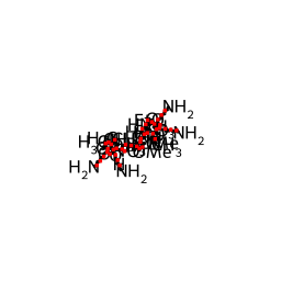 CCC(C)(NC1CCC(NC(=O)c2cc(C(=O)NC3CCC(NC(=O)c4cc(C(=O)C(C)N(C)CCN(C)C)c(OCCCCCN)cc4OCCCCCN)CC3)c(OC)cc2OC)CC1)C(=O)c1cc(C(=O)NCCN(C)C)c(OCCCCCN)cc1OCCCCCN